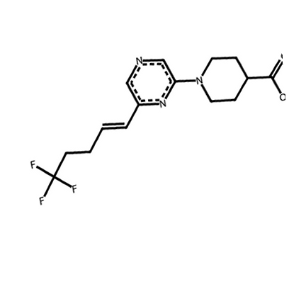 O=C(O)C1CCN(c2cncc(C=CCCC(F)(F)F)n2)CC1